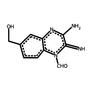 N=c1c(N)nc2cc(CO)ccc2n1C=O